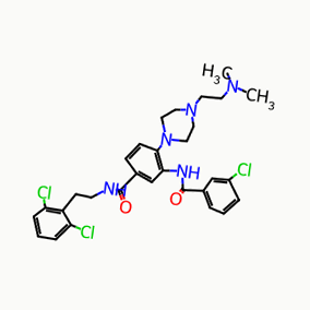 CN(C)CCN1CCN(c2ccc(C(=O)NCCc3c(Cl)cccc3Cl)cc2NC(=O)c2cccc(Cl)c2)CC1